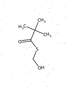 CC(C)(C)C(=O)SCO